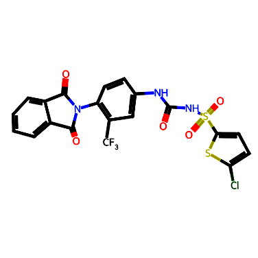 O=C(Nc1ccc(N2C(=O)c3ccccc3C2=O)c(C(F)(F)F)c1)NS(=O)(=O)c1ccc(Cl)s1